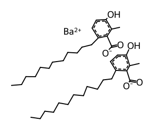 CCCCCCCCCCCCc1ccc(O)c(C)c1C(=O)[O-].CCCCCCCCCCCCc1ccc(O)c(C)c1C(=O)[O-].[Ba+2]